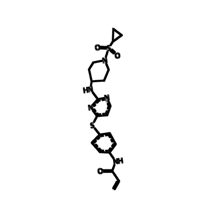 C=CC(=O)Nc1ccc(Sc2ccnc(NC3CCN(S(=O)(=O)C4CC4)CC3)n2)cc1